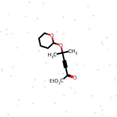 CCOC(=O)C(=O)C#CC(C)(C)OC1CCCCO1